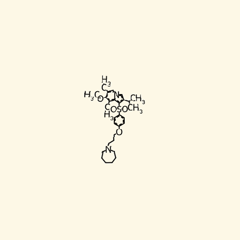 COc1c(C)cn2cc(C(C)C)c(S(=O)(=O)c3ccc(OCCCN4CCCCCC4)cc3)c2c1C